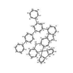 c1ccc(-c2ccc(-c3cc(-c4cccc5sc6cc7c(cc6c45)Oc4ccccc4C74c5ccccc5-c5ccccc54)nc(-c4ccccc4)n3)cc2)cc1